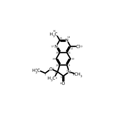 CCOC1(C)C(=O)N(C)c2cc3c(Cl)nc(C)nc3cc21